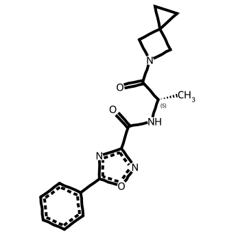 C[C@H](NC(=O)c1noc(-c2ccccc2)n1)C(=O)N1CC2(CC2)C1